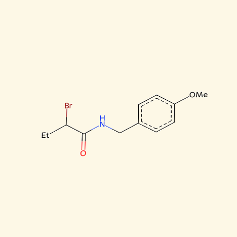 CCC(Br)C(=O)NCc1ccc(OC)cc1